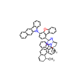 CC1C/C=C(n2c3ccccc3c3ccccc32)/N=C(c2ccc(-n3c4ccccc4c4cc5ccccc5cc43)c3oc4ccccc4c23)\N=C/1c1ccc2c(c1)C(C)CC=C2